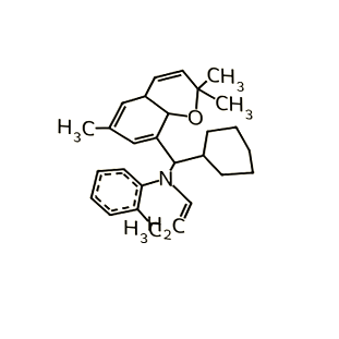 C=CN(c1ccccc1C)C(C1=CC(C)=CC2C=CC(C)(C)OC12)C1CCCCC1